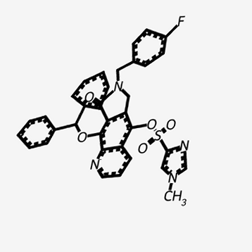 Cn1cnc(S(=O)(=O)Oc2c3c(c(OC(c4ccccc4)c4ccccc4)c4ncccc24)C(=O)N(Cc2ccc(F)cc2)C3)c1